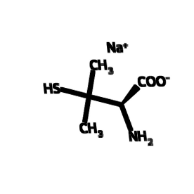 CC(C)(S)[C@H](N)C(=O)[O-].[Na+]